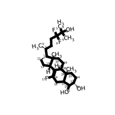 C[C@H](CCC(F)(F)C(C)(C)O)[C@H]1CC[C@H]2C3=C(F)CC4C(O)[C@@H](O)CC[C@]4(C)[C@H]3CC[C@]12C